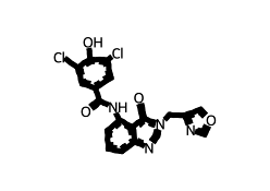 O=C(Nc1cccc2ncn(Cc3cocn3)c(=O)c12)c1cc(Cl)c(O)c(Cl)c1